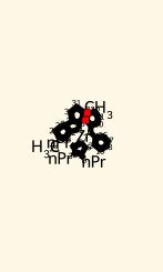 CCCC1=C(CCC)C(CCC)=[C]([Zr](=[C](c2ccccc2)c2ccccc2)[CH]2c3cc(C)ccc3-c3ccc(C)cc32)C1